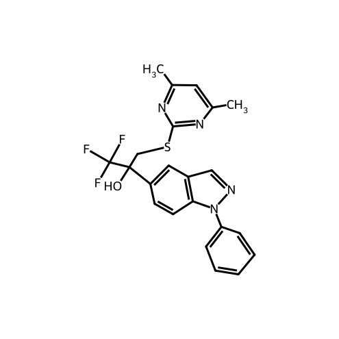 Cc1cc(C)nc(SCC(O)(c2ccc3c(cnn3-c3ccccc3)c2)C(F)(F)F)n1